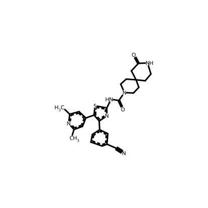 Cc1cc(-c2sc(NC(=O)N3CCC4(CCNC(=O)C4)CC3)nc2-c2cccc(C#N)c2)cc(C)n1